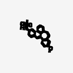 COc1ccc2c(c1)CCc1ccccc1C2=Cc1ccc(NS(C)(=O)=O)cc1